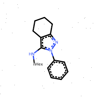 CCCCCCNc1c2c(nn1-c1ccccc1)CCCC2